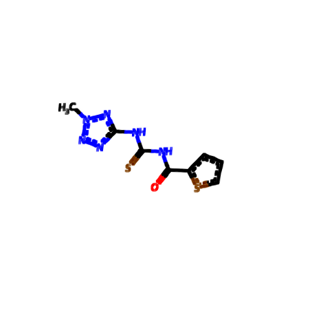 Cn1nnc(NC(=S)NC(=O)c2cccs2)n1